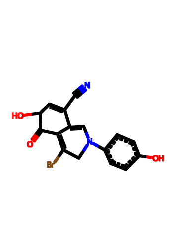 N#CC1=CC(O)C(=O)C2=C(Br)CN(c3ccc(O)cc3)C=C12